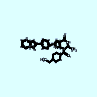 CCC1CCC(C(=O)N2c3nn(-c4ccc(-c5cc6ncccn6n5)cc4)cc3C(=O)OC2C)CC1